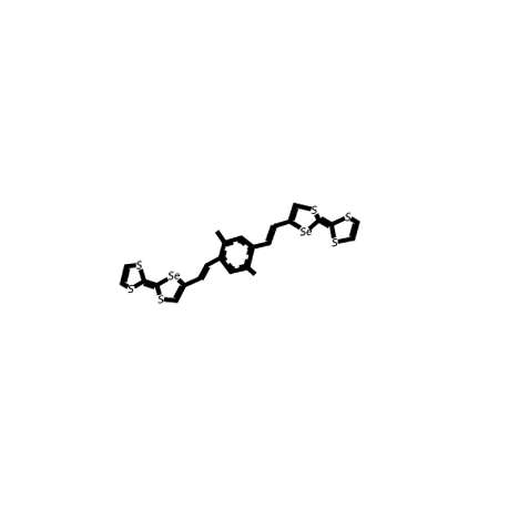 Cc1cc(/C=C/C2=CSC(=C3SC=CS3)[Se]2)c(C)cc1/C=C/C1=CSC(=C2SC=CS2)[Se]1